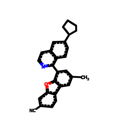 Cc1cc(-c2nccc3cc(C4CCCC4)ccc23)c2oc3cc(C#N)ccc3c2c1